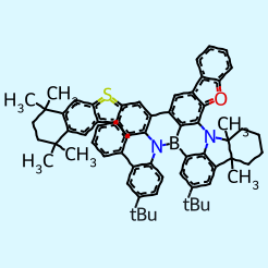 CC(C)(C)c1ccc(N2B3c4cc(C(C)(C)C)cc5c4N(c4c3c(cc3c4oc4ccccc43)-c3cc4sc6cc7c(cc6c4cc32)C(C)(C)CCC7(C)C)C2(C)CCCCC52C)c(-c2ccccc2)c1